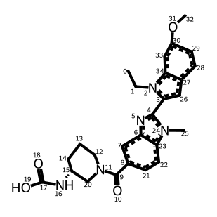 CCn1c(-c2nc3cc(C(=O)N4CCC[C@@H](NC(=O)O)C4)ccc3n2C)cc2ccc(OC)cc21